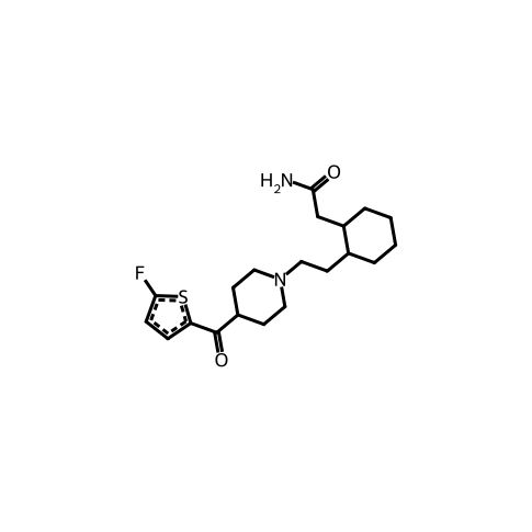 NC(=O)CC1CCCCC1CCN1CCC(C(=O)c2ccc(F)s2)CC1